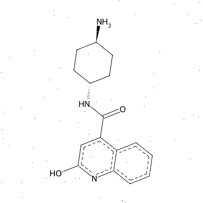 N[C@H]1CC[C@H](NC(=O)c2cc(O)nc3ccccc23)CC1